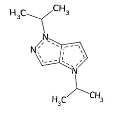 CC(C)n1ccc2c1cnn2C(C)C